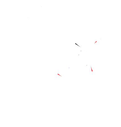 CC(C)OC(=O)CCC/C=C\C[C@@H]1[C@@H](/C=C/[C@H](O)CCc2ccccc2)[C@H](O)C[C@@H]1O